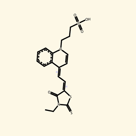 CCN1C(=O)/C(=C\C=C2/C=CN(CCCS(=O)(=O)O)c3ccccc32)SC1=S